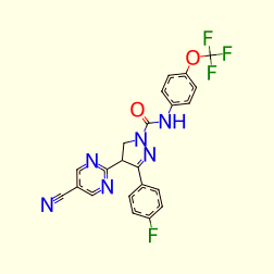 N#Cc1cnc(C2CN(C(=O)Nc3ccc(OC(F)(F)F)cc3)N=C2c2ccc(F)cc2)nc1